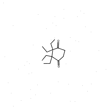 CCC1(CC)C(=O)CCC(=O)C1(CC)CC